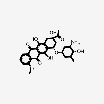 COc1cccc2c1C(=O)c1c(O)c3c(c(O)c1C2=O)C[C@@](O)(C(C)=O)C[C@@H]3O[C@@H]1CC(C)[C@@H](O)[C@H](N)C1